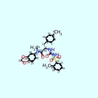 Cc1ccc(C[C@H](NC(=O)NS(=O)(=O)c2ccccc2C)C(=O)N(C)c2ccc3c(c2)OCO3)cc1